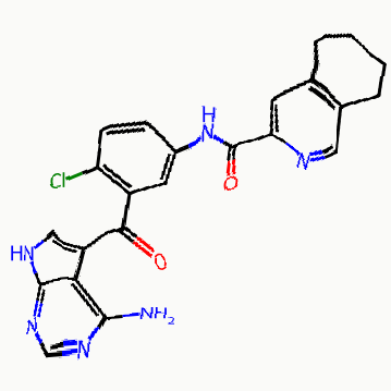 Nc1ncnc2[nH]cc(C(=O)c3cc(NC(=O)c4cc5c(cn4)CCCC5)ccc3Cl)c12